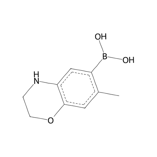 Cc1cc2c(cc1B(O)O)NCCO2